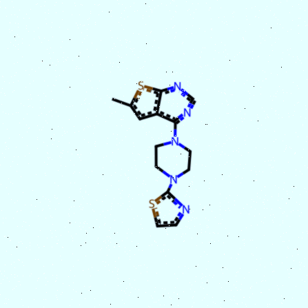 Cc1cc2c(N3CCN(c4nccs4)CC3)ncnc2s1